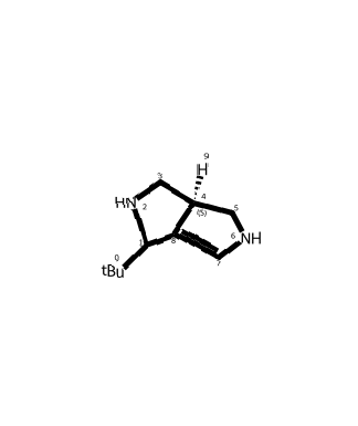 CC(C)(C)C1NC[C@H]2CNC=C12